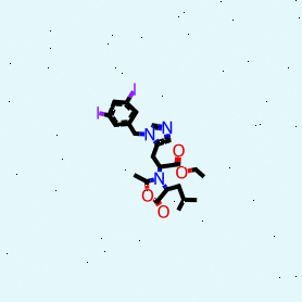 CCOC(=O)C(Cc1cncn1Cc1cc(I)cc(I)c1)N1C(C)OC(=O)C1CC(C)C